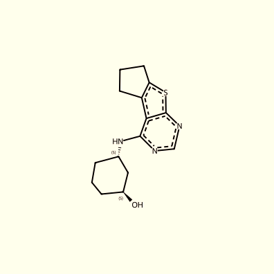 O[C@H]1CCC[C@H](Nc2ncnc3sc4c(c23)CCC4)C1